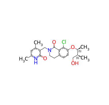 Cc1cc(C)c(CN2CCc3ccc(O[C@@H](C)[C@@H](C)CO)c(Cl)c3C2=O)c(=O)[nH]1